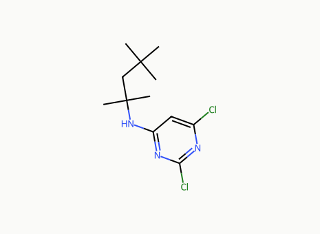 CC(C)(C)CC(C)(C)Nc1cc(Cl)nc(Cl)n1